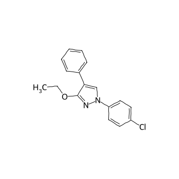 CCOc1nn(-c2ccc(Cl)cc2)cc1-c1ccccc1